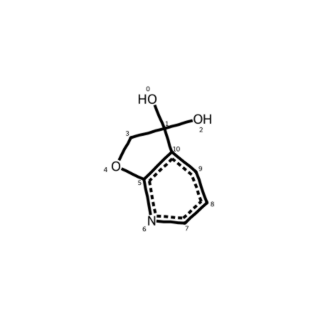 OC1(O)COc2ncccc21